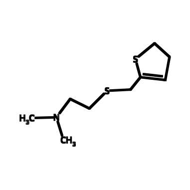 CN(C)CCSCC1=CCCS1